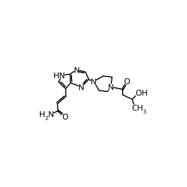 CC(O)CC(=O)N1CCN(c2cnc3[nH]cc(/C=C/C(N)=O)c3n2)CC1